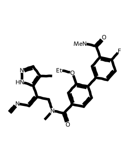 C=N/C=C(/CN(C)C(=O)c1ccc(-c2ccc(F)c(C(=O)NC)c2)c(OCC)c1)c1[nH]ncc1C